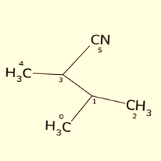 CC(C)C(C)C#N